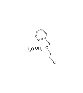 ClCCO[B]c1ccccc1.O.O